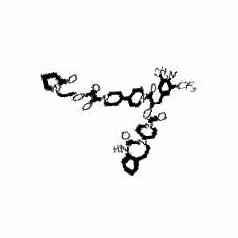 Nc1c(Cl)cc(C[C@@H](OC(=O)N2CCC(N3CCc4ccccc4NC3=O)CC2)C(=O)N2CCC(C3CCN(C(=O)C(=O)OCCN4CCCC4=O)CC3)CC2)cc1C(F)(F)F